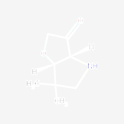 CC1(C)CN[C@@H]2C(=O)CO[C@@H]21